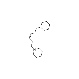 C(=C/CCN1CCCCC1)/CCC1CCCCC1